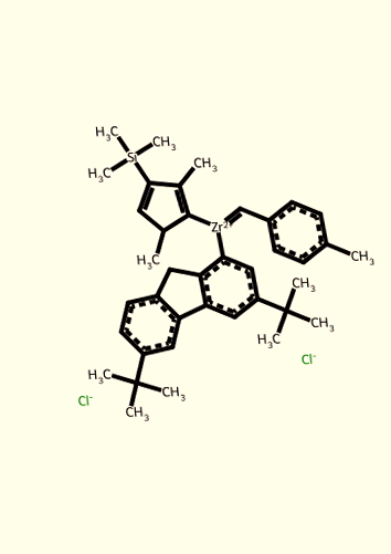 CC1=[C](/[Zr+2](=[CH]/c2ccc(C)cc2)[c]2cc(C(C)(C)C)cc3c2Cc2ccc(C(C)(C)C)cc2-3)C(C)C=C1[Si](C)(C)C.[Cl-].[Cl-]